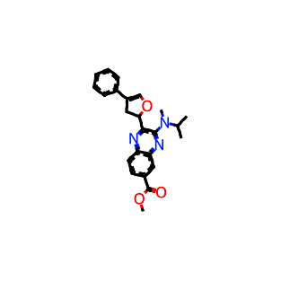 COC(=O)c1ccc2nc(C3CC(c4ccccc4)=CO3)c(N(C)C(C)C)nc2c1